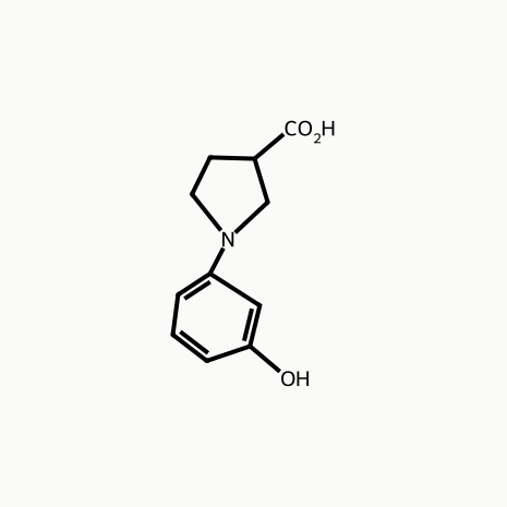 O=C(O)C1CCN(c2cccc(O)c2)C1